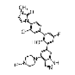 CC(C)N1CCN(c2cc(-c3cc(F)cc(-c4ccc(-n5ccn(C)c5=O)c(Cl)c4)c3O)cc3[nH]ncc23)CC1